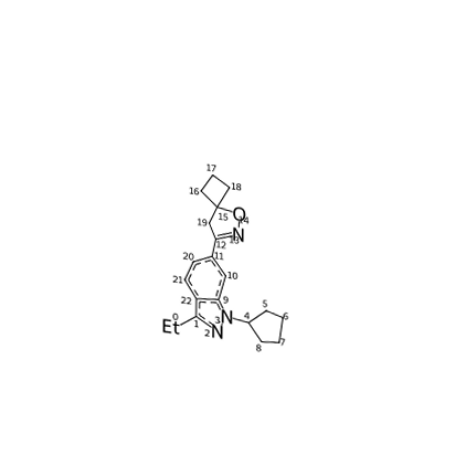 CCc1nn(C2CCCC2)c2cc(C3=NOC4(CCC4)C3)ccc12